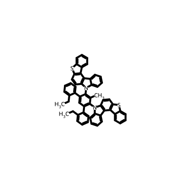 CCc1ccccc1-c1cc(-c2ccccc2CC)c(-n2c3ccccc3c3c4c(ccc32)sc2ccccc24)c(C)c1-n1c2ccccc2c2c3c(ccc21)sc1ccccc13